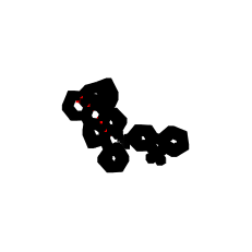 CC1(C)c2ccccc2-c2ccc(N(c3ccc(C45CC6CC(CC(C6)C4)C5)cc3)c3ccccc3-c3ccc(C4CCCCC4)cc3)cc21